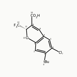 CC(C)(C)c1cc2c(cc1Cl)C=C(C(=O)O)[C@@H](C(F)(F)F)O2